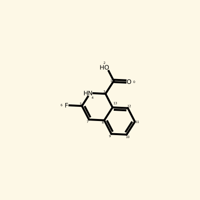 O=C(O)C1NC(F)=Cc2ccccc21